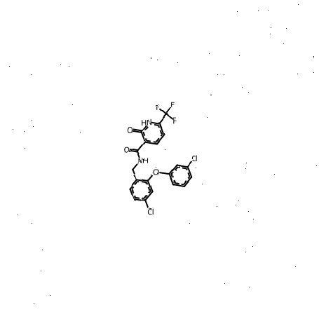 O=C(NCc1ccc(Cl)cc1Oc1cccc(Cl)c1)c1ccc(C(F)(F)F)[nH]c1=O